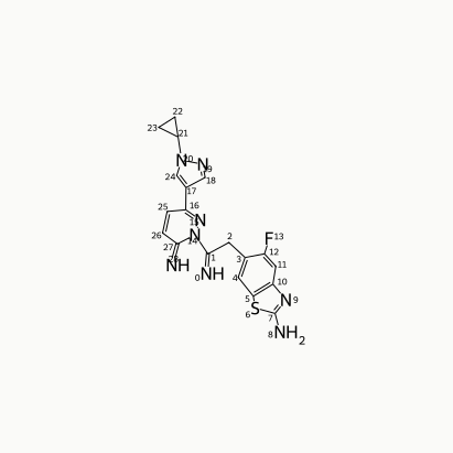 N=C(Cc1cc2sc(N)nc2cc1F)n1nc(-c2cnn(C3CC3)c2)ccc1=N